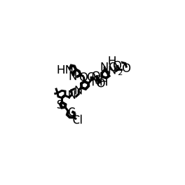 CC1(C)CCC(CN2CCN(c3ccc(C(=O)NS(=O)(=O)c4ccc(NCC5COCCO5)c([N+](=O)[O-])c4)c(Oc4cnc5[nH]ccc5c4)c3)CC2)=C(c2cc(-c3ccc(Cl)cc3)cs2)C1